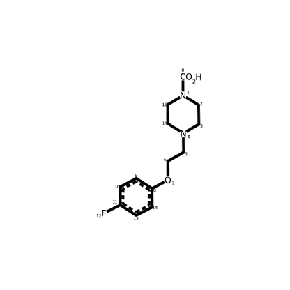 O=C(O)N1CCN(CCOc2ccc(F)cc2)CC1